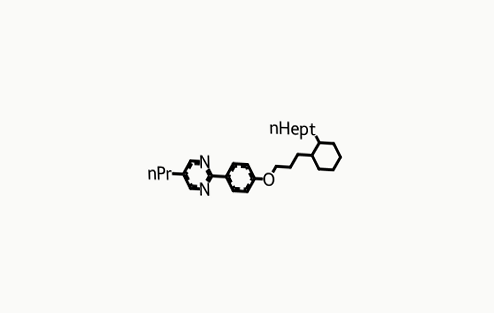 CCCCCCCC1CCCCC1CCCOc1ccc(-c2ncc(CCC)cn2)cc1